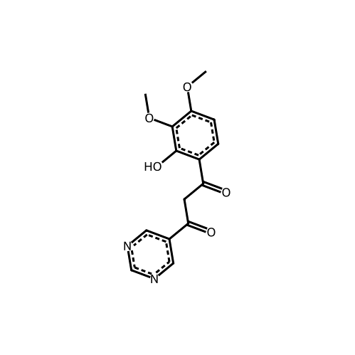 COc1ccc(C(=O)CC(=O)c2cncnc2)c(O)c1OC